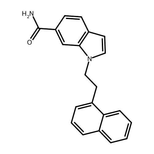 NC(=O)c1ccc2ccn(CCc3cccc4ccccc34)c2c1